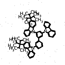 CC(C)C(c1ccc2c(c1)c1ccccc1n2-c1cccc(-c2cc(-n3c4ccccc4c4ccccc43)cc(-n3c4ccccc4c4cc(C(C(C)C)(C(C)C)C(C)C)ccc43)c2)c1)(C(C)C)C(C)C